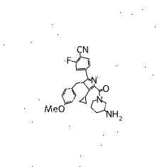 COc1ccc(CC2C(c3ccc(C#N)c(F)c3)=NC(C(=O)N3CCC[C@H](N)C3)=C2C2CC2)cc1